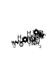 COc1cc(C(=O)NCCN(C)C)ccc1Nc1nc(N)c(Cl)c(Nc2ccccc2S(=O)(=O)C(C)C)n1